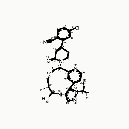 C[C@@H]1CCC[C@H](N2CCC(c3cc(Cl)ccc3C#N)=CC2=O)c2cc(ccn2)-c2c(cnn2C(F)F)NC1O